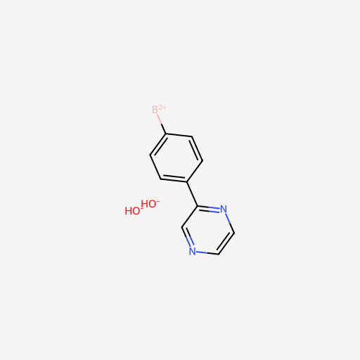 [B+2]c1ccc(-c2cnccn2)cc1.[OH-].[OH-]